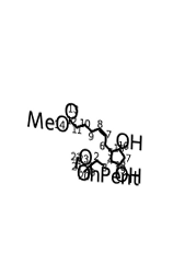 CCCCCC1(CC[C@@H]2C(C/C=C\CCCC(=O)OC)C(O)C[C@H]2O)OCCO1